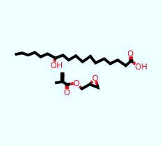 C=C(C)C(=O)OCC1CO1.CCCCCCC(O)CCCCCCCCCCC(=O)O